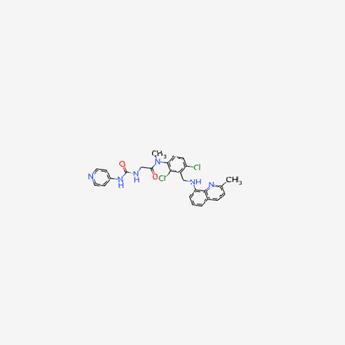 Cc1ccc2cccc(NCc3c(Cl)ccc(N(C)C(=O)CNC(=O)Nc4ccncc4)c3Cl)c2n1